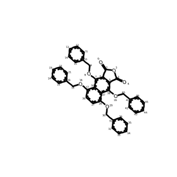 O=C1OC(=O)c2c1c(OCc1ccccc1)c1c(OCc3ccccc3)ccc(OCc3ccccc3)c1c2OCc1ccccc1